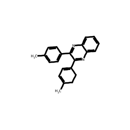 CC1=CC=C(c2nc3ccccc3nc2-c2ccc(C)cc2)CC1